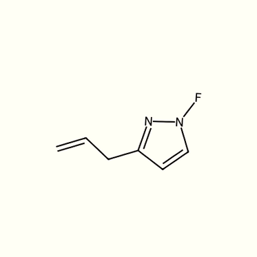 C=CCc1ccn(F)n1